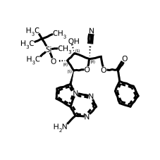 CC(C)(C)[Si](C)(C)O[C@H]1[C@H](c2ccc3c(N)ncnn23)O[C@](C#N)(COC(=O)c2ccccc2)[C@H]1O